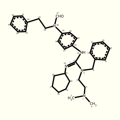 CN(C)CCN(Cc1ccccc1)/C(=N\C1CCCCC1)Nc1ccc(N(C=O)CCc2ccccc2)cc1